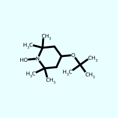 CC(C)(C)OC1CC(C)(C)N(O)C(C)(C)C1